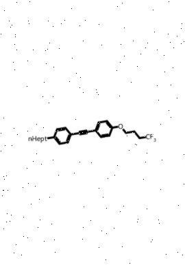 CCCCCCCc1ccc(C#Cc2ccc(OCCCC(F)(F)F)cc2)cc1